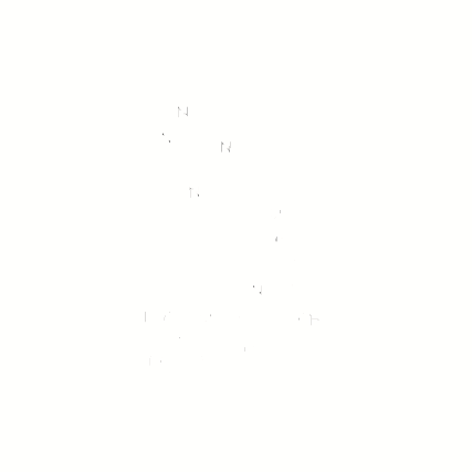 C[C@H]1C[C@@H](Oc2cnc3nncn3c2)CN1C(=O)OC(C)(C)C